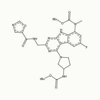 CN(C(=O)OC(C)(C)C)c1cc(F)cc2c1[nH]c1nc(CNC(=O)c3cnco3)nc(N3CCC(NC(=O)OC(C)(C)C)C3)c12